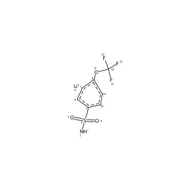 [Li+].[NH-]S(=O)(=O)c1ccc(OC(F)(F)F)cc1